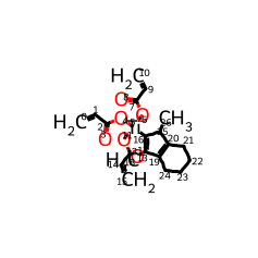 C=CC(=O)[O][Ti]([O]C(=O)C=C)([O]C(=O)C=C)[C]1=C(C)C2=C(CCCC2)C1C